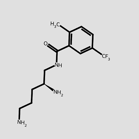 Cc1ccc(C(F)(F)F)cc1C(=O)NC[C@@H](N)CCCN